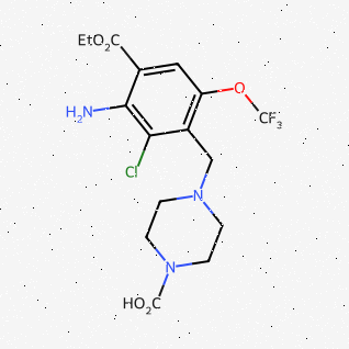 CCOC(=O)c1cc(OC(F)(F)F)c(CN2CCN(C(=O)O)CC2)c(Cl)c1N